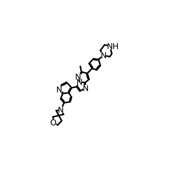 Cc1nn2c(-c3ccnc4cc(N5CC6(CCOC6)C5)ccc34)cnc2cc1-c1ccc(N2CCNCC2)cc1